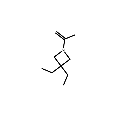 C=C(C)N1CC(CC)(CC)C1